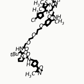 Cc1ncoc1-c1ccc(CNC(=O)[C@@H]2CCCN2C(=O)C(NC(=O)COCCOCCCOc2ccc([C@@H](C)NC(=O)C[C@@H]3N=C(c4ccc(Cl)cc4)c4c(sc(C)c4C)-n4c(C)nnc43)cc2)C(C)(C)C)cc1